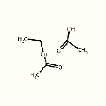 CC(=O)O.C[CH2][Cu][C](C)=O